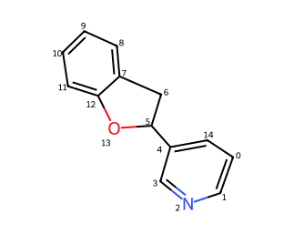 c1cncc(C2Cc3ccccc3O2)c1